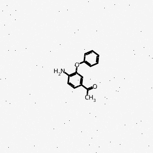 CC(=O)c1ccc(N)c(Oc2ccccc2)c1